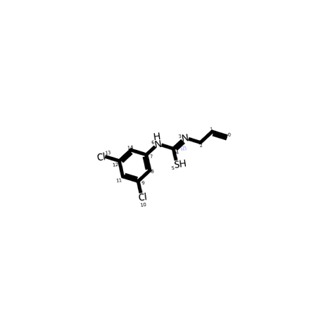 C=CC/N=C(\S)Nc1cc(Cl)cc(Cl)c1